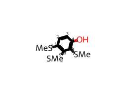 CSc1ccc(O)c(SC)c1SC